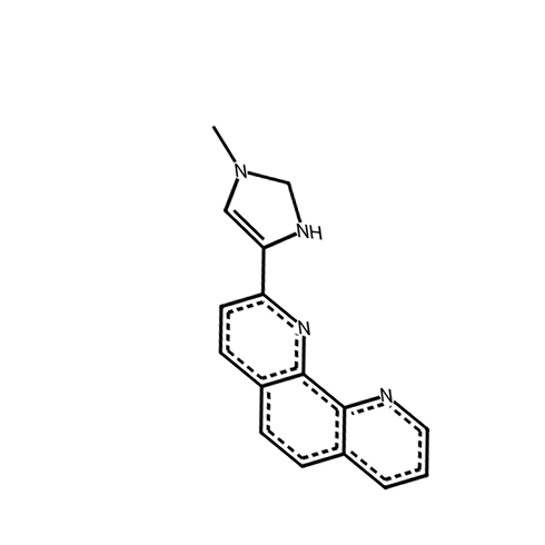 CN1C=C(c2ccc3ccc4cccnc4c3n2)NC1